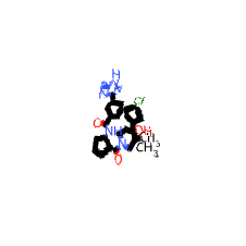 CC1(C)CN(C(=O)[C@H]2CCC[C@H]2NC(=O)c2cccc(-c3nn[nH]n3)c2)CCC1(O)c1ccc(Cl)cc1